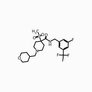 CS(=O)(=O)C1(C(=O)NCc2cc(F)cc(C(F)(F)F)c2)CCN(CC2CCOCC2)CC1